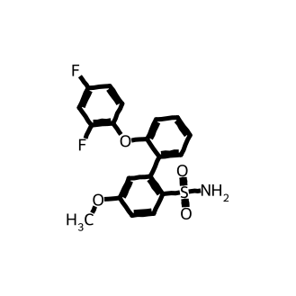 COc1ccc(S(N)(=O)=O)c(-c2ccccc2Oc2ccc(F)cc2F)c1